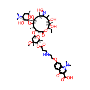 CC[C@H]1OC(=O)[C@H](C)[C@@H](O[C@H]2C[C@@](C)(OC)[C@@H](OC(=O)CCNCCOc3ccc4c(=O)c(C(=O)O)cn(N(C)C)c4c3)[C@H](C)O2)[C@H](C)[C@@H](O[C@@H]2O[C@H](C)C[C@H](N(C)C)[C@H]2O)[C@](C)(O)C[C@@H](C)/C(=N\O)C(C)[C@@H](O)[C@]1(C)O